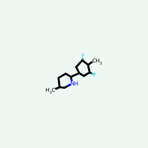 CC1CCC(C2CC(F)C(C)C(F)C2)NC1